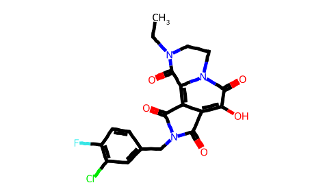 CCN1CCn2c(c3c(c(O)c2=O)C(=O)N(Cc2ccc(F)c(Cl)c2)C3=O)C1=O